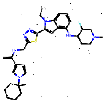 C=C(NCc1nnc(-c2cc3c(NC4CCN(C)CC4F)cccc3n2CC(F)(F)F)s1)c1ccn(C2(C)CCCCC2)c1